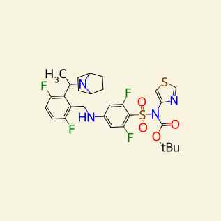 CC(c1c(F)ccc(F)c1CNc1cc(F)c(S(=O)(=O)N(C(=O)OC(C)(C)C)c2cscn2)c(F)c1)N1C2CCC1CC2